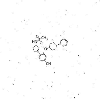 CS(=O)(=O)N[C@H]1CCN(c2ccc(C#N)cn2)[C@H]1CO[C@H]1CC[C@@H](c2ccccc2)CC1